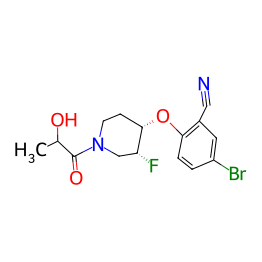 CC(O)C(=O)N1CC[C@H](Oc2ccc(Br)cc2C#N)[C@H](F)C1